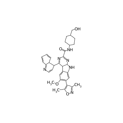 COc1cc2c(cc1-c1c(C)noc1C)NC1N=C(C(=O)NC3CCC(CO)CC3)N=C(C3C=CN=C4C=CC=CC43)C21